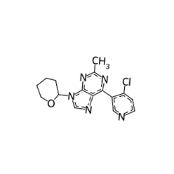 Cc1nc(-c2cnccc2Cl)c2ncn(C3CCCCO3)c2n1